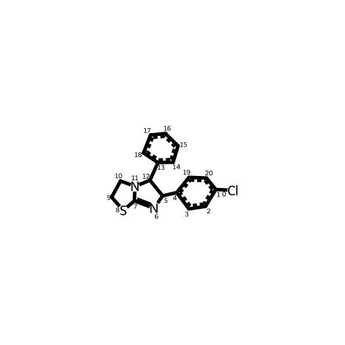 Clc1ccc(C2N=C3SCCN3C2c2ccccc2)cc1